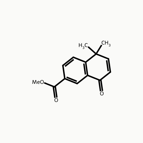 COC(=O)c1ccc2c(c1)C(=O)C=CC2(C)C